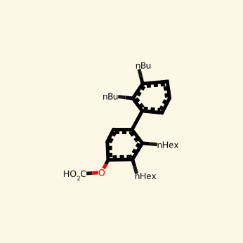 CCCCCCc1c(OC(=O)O)ccc(-c2cccc(CCCC)c2CCCC)c1CCCCCC